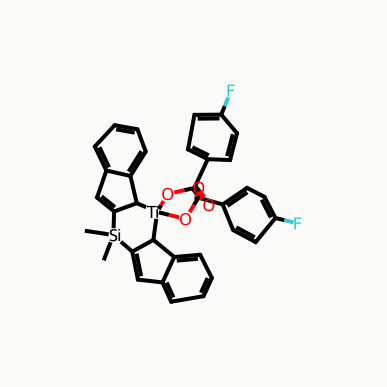 C[Si]1(C)C2=Cc3ccccc3[CH]2[Ti]([O]C(=O)c2ccc(F)cc2)([O]C(=O)c2ccc(F)cc2)[CH]2C1=Cc1ccccc12